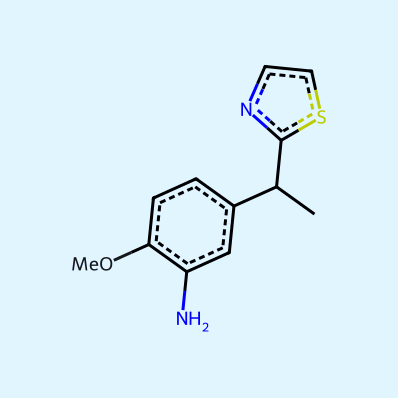 COc1ccc(C(C)c2nccs2)cc1N